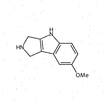 COc1ccc2[nH]c3c(c2c1)CNC3